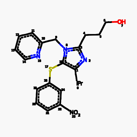 CC(C)c1nc(CCCO)n(Cc2ccccn2)c1Sc1cccc([N+](=O)[O-])c1